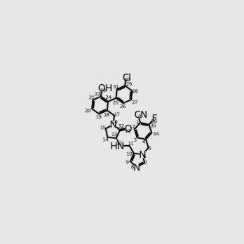 N#Cc1ccc(Cn2cncc2CN[C@H]2CCN(Cc3cccc(O)c3-c3cccc(Cl)c3)C2=O)cc1F